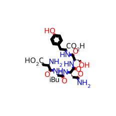 CC[C@H](C)[C@H](NC(=O)[C@@H](N)CC(=O)O)C(=O)N[C@@H](CC(N)=O)C(=O)N[C@@H](CO)C(=O)N[C@@H](Cc1ccc(O)cc1)C(=O)O